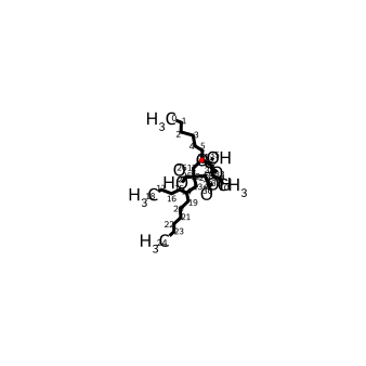 CCCCCCC(CCCC)CC(CC(CCCC)CCCCCC)(C(=O)O)C(C(=O)O)S(=O)(=O)O